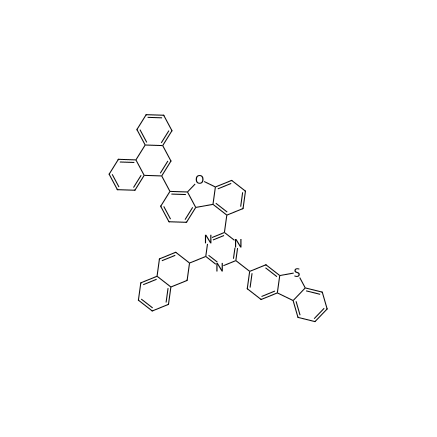 C1=CC(c2nc(-c3ccc4c(c3)sc3ccccc34)nc(-c3cccc4oc5c(-c6cc7ccccc7c7ccccc67)cccc5c34)n2)Cc2ccccc21